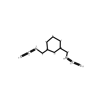 S=C=NCC1CCCC(CN=C=S)C1